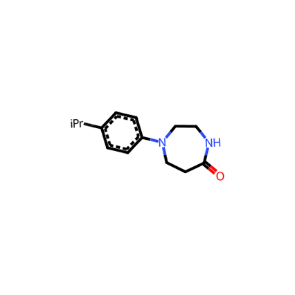 CC(C)c1ccc(N2CCNC(=O)CC2)cc1